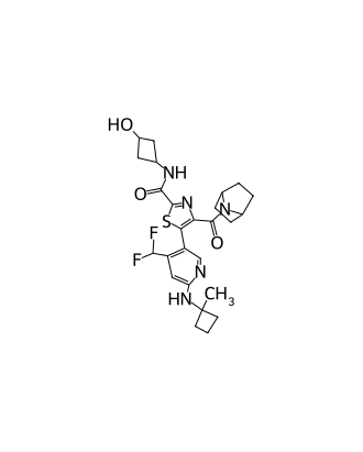 CC1(Nc2cc(C(F)F)c(-c3sc(C(=O)NC4CC(O)C4)nc3C(=O)N3C4CCC3CC4)cn2)CCC1